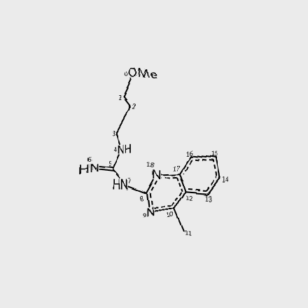 COCCCNC(=N)Nc1nc(C)c2ccccc2n1